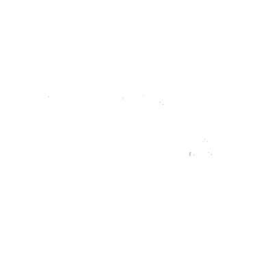 O=C(N1CC2(CCC(OCC3(C(F)(F)F)CC3)CC2)C1)N1CC2(CC(c3nnc(C4(O)CC4)[nH]3)C2)C1